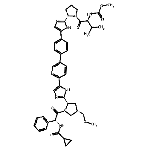 COC[C@H]1C[C@@H](c2ncc(-c3ccc(-c4ccc(-c5cnc([C@@H]6CCCN6C(=O)[C@@H](NC(=O)OC)C(C)C)[nH]5)cc4)cc3)[nH]2)N(C(=O)[C@H](NC(=O)C2CC2)c2ccccc2)C1